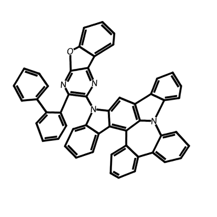 c1ccc(-c2ccccc2-c2nc3oc4ccccc4c3nc2-n2c3ccccc3c3c4c5c(cc32)c2ccccc2n5-c2ccccc2-c2ccccc2-4)cc1